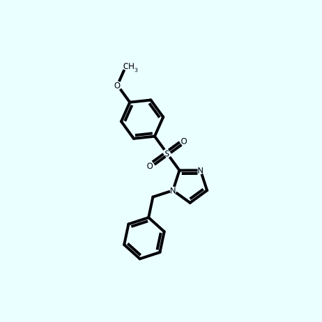 COc1ccc(S(=O)(=O)c2nccn2Cc2ccccc2)cc1